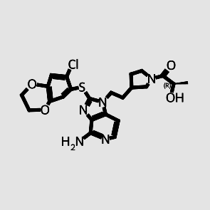 C[C@@H](O)C(=O)N1CCC(CCn2c(Sc3cc4c(cc3Cl)OCCO4)nc3c(N)nccc32)C1